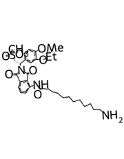 CCOc1cc([C@@H](CS(C)(=O)=O)N2C(=O)c3cccc(NC(=O)CCCCCCCCCCCN)c3C2=O)ccc1OC